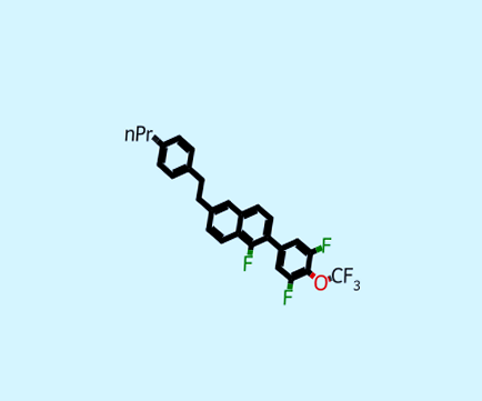 CCCc1ccc(CCc2ccc3c(F)c(-c4cc(F)c(OC(F)(F)F)c(F)c4)ccc3c2)cc1